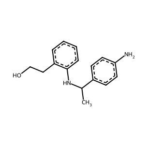 CC(Nc1ccccc1CCO)c1ccc(N)cc1